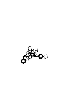 O=C1NC(=O)C(CC#Cc2ccc(Cl)cc2)(S(=O)(=O)c2ccc3ccccc3n2)S1